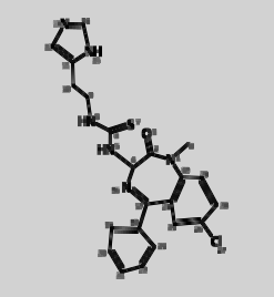 CN1C(=O)C(NC(=S)NCCc2cnc[nH]2)N=C(c2ccccc2)c2cc(Cl)ccc21